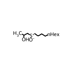 CCCCCCCCCC[S+]([O-])CC(C)O